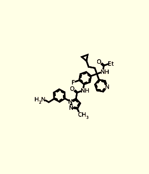 CCC(=O)NC(CCC1CC1)(c1cccnc1)c1ccc(F)c(NC(=O)c2cc(C)nn2-c2cccc(CN)c2)c1